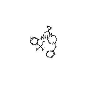 FC(F)(F)c1ccncc1NCC1(N2CCN(Cc3ccccc3)CC2)CC1